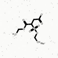 CCOC(=O)C(CC(=O)[O-])S(=O)(=O)OCC.[Na+]